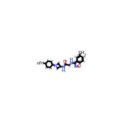 CCCC1CCC(N2CC(NC(=O)CNc3noc4ccc(C)cc34)C2)CC1